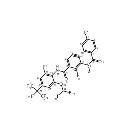 CN(C(=O)c1ccc(F)cc1)c1c#ccc(C(=O)Nc2c(I)cc(C(F)(C(F)(F)F)C(F)(F)F)cc2OC(F)F)c1F